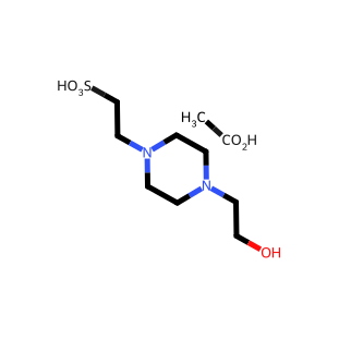 CC(=O)O.O=S(=O)(O)CCN1CCN(CCO)CC1